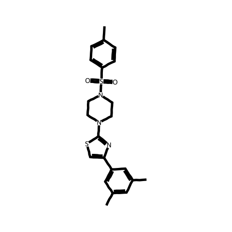 Cc1ccc(S(=O)(=O)N2CCN(c3nc(-c4cc(C)cc(C)c4)cs3)CC2)cc1